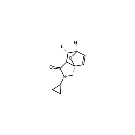 O=C1C2[C@H](I)[C@H]3C=C[C@]2(CN1C1CC1)O3